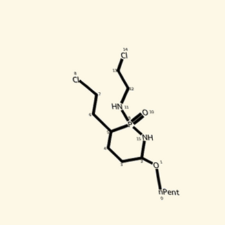 CCCCCOC1CCC(CCCl)P(=O)(NCCCl)N1